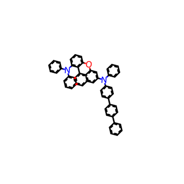 c1ccc(-c2ccc(-c3ccc(N(c4ccccc4)c4cc5c6c(cccc6c4)-c4c(cccc4N(c4ccccc4)c4ccccc4)O5)cc3)cc2)cc1